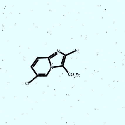 CCOC(=O)c1c(CC)nc2ccc(Cl)cn12